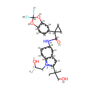 C[C@H](O)Cn1c(C(C)(C)CO)cc2cc(NC(=O)C3(c4ccc5c(c4)OC(F)(F)O5)CC3)ccc21